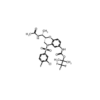 CC(=O)N[C@H](C)[C@H]1CN(S(=O)(=O)c2ccc(F)c(Cl)c2)c2cc(NC(=O)OC(C)(C)C(F)(F)F)ccc2O1